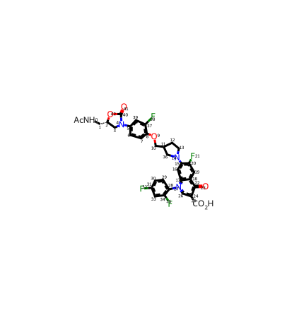 CC(=O)NC[C@H]1CN(c2ccc(OCC3CCN(c4cc5c(cc4F)c(=O)c(C(=O)O)cn5-c4ccc(F)cc4F)C3)c(F)c2)C(=O)O1